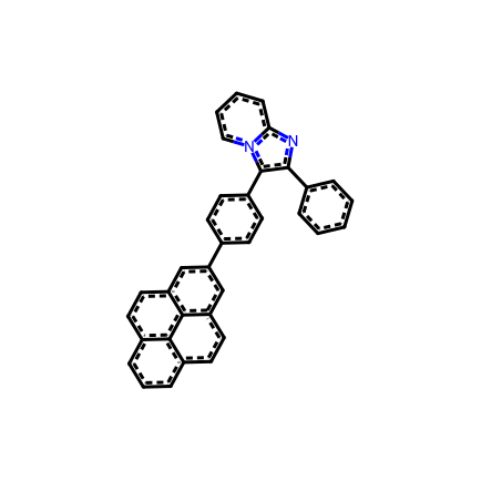 c1ccc(-c2nc3ccccn3c2-c2ccc(-c3cc4ccc5cccc6ccc(c3)c4c56)cc2)cc1